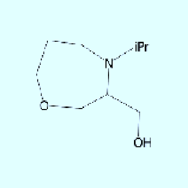 CC(C)N1CCCOCC1CO